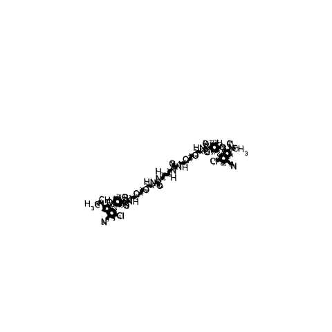 CN(C)[C@H]1Cc2c(C#N)cc(Cl)cc2[C@@H]1Oc1ccc(S(=O)(=O)NCCOCCOCCNC(=O)NCCCCNC(=O)NCCOCCOCCNS(=O)(=O)c2ccc(O[C@H]3c4cc(Cl)cc(C#N)c4C[C@@H]3N(C)C)cc2)cc1